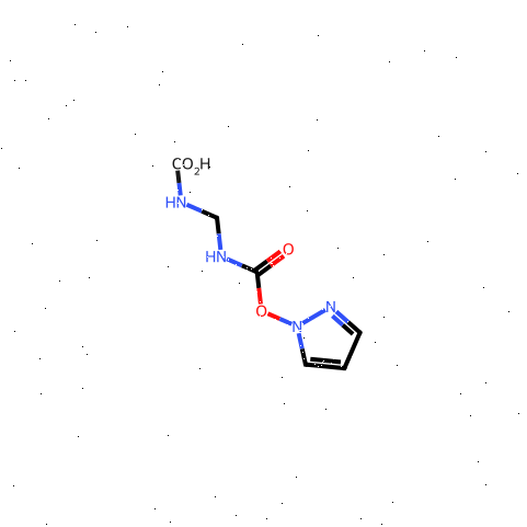 O=C(O)NCNC(=O)On1cccn1